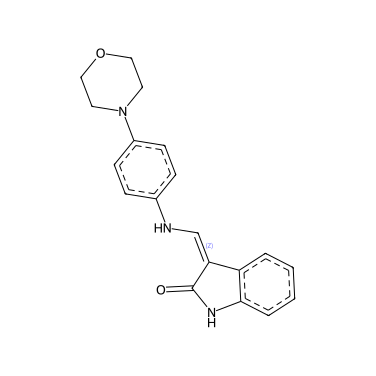 O=C1Nc2ccccc2/C1=C/Nc1ccc(N2CCOCC2)cc1